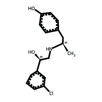 C[C@H](Cc1ccc(O)cc1)NC[C@H](O)c1cccc(Cl)c1